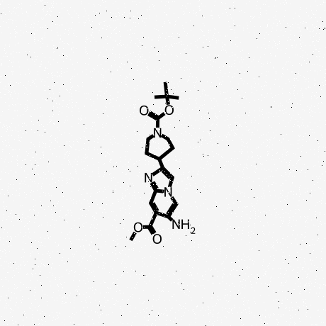 COC(=O)c1cc2nc(C3CCN(C(=O)OC(C)(C)C)CC3)cn2cc1N